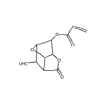 C=CC(=O)OC1C2OC3C1OC(=O)C3C2C=O